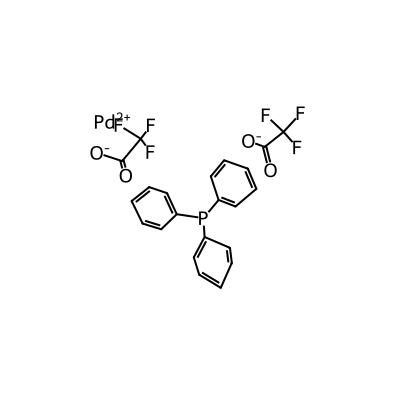 O=C([O-])C(F)(F)F.O=C([O-])C(F)(F)F.[Pd+2].c1ccc(P(c2ccccc2)c2ccccc2)cc1